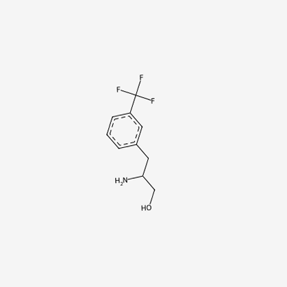 NC(CO)Cc1cccc(C(F)(F)F)c1